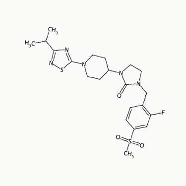 CC(C)c1nsc(N2CCC(N3CCN(Cc4ccc(S(C)(=O)=O)cc4F)C3=O)CC2)n1